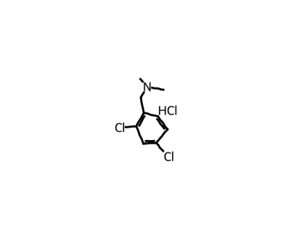 CN(C)Cc1ccc(Cl)cc1Cl.Cl